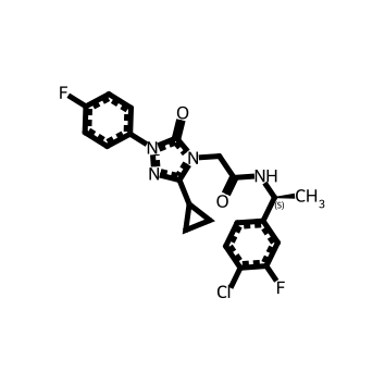 C[C@H](NC(=O)Cn1c(C2CC2)nn(-c2ccc(F)cc2)c1=O)c1ccc(Cl)c(F)c1